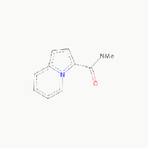 CNC(=O)c1ccc2ccccn12